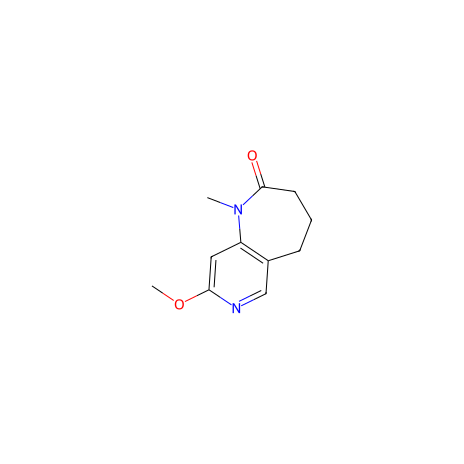 COc1cc2c(cn1)CCCC(=O)N2C